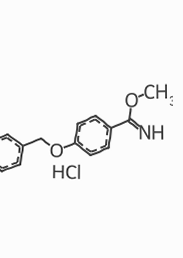 COC(=N)c1ccc(OCc2ccccc2)cc1.Cl